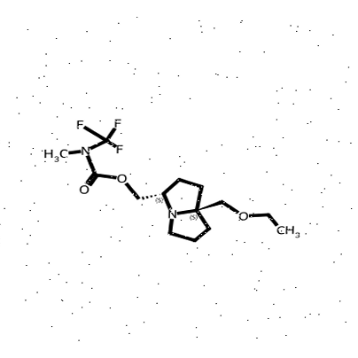 CCOC[C@@]12CCCN1[C@H](COC(=O)N(C)C(F)(F)F)CC2